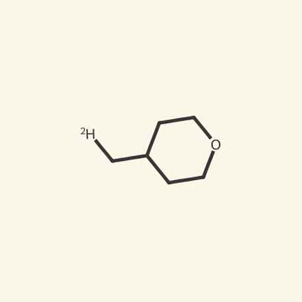 [2H]CC1CCOCC1